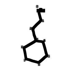 [CH2]CCCC[CH]C1CCCCC1